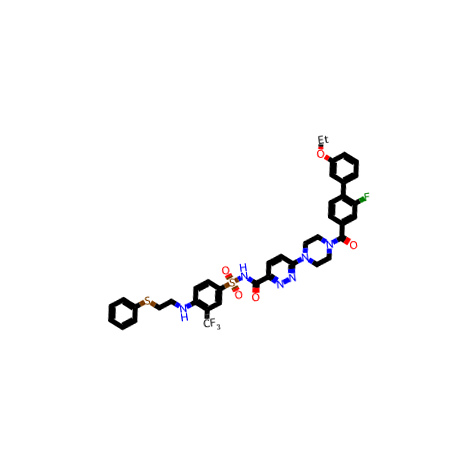 CCOc1cccc(-c2ccc(C(=O)N3CCN(c4ccc(C(=O)NS(=O)(=O)c5ccc(NCCSc6ccccc6)c(C(F)(F)F)c5)nn4)CC3)cc2F)c1